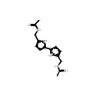 CC(=O)OCc1ccc(-c2ccc(COC(C)=O)s2)s1